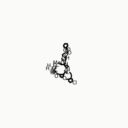 CO[C@@]1(CN2CCN3CCN(C(=O)S(=O)(=O)c4ccccc4)C[C@@H]3C2)/C=C/C[C@H](C)[C@@H](C)S(=O)(=O)NC(=O)c2ccc3c(c2)N(CCCCc2cc(Cl)ccc2CO3)C[C@@H]2CC[C@H]21